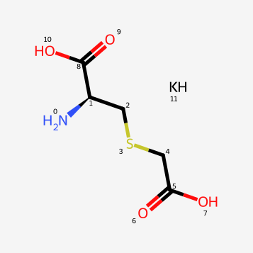 N[C@H](CSCC(=O)O)C(=O)O.[KH]